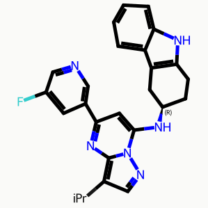 CC(C)c1cnn2c(N[C@@H]3CCc4[nH]c5ccccc5c4C3)cc(-c3cncc(F)c3)nc12